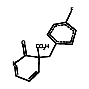 O=C(O)C1(Cc2ccc(F)cc2)C=CC=NC1=O